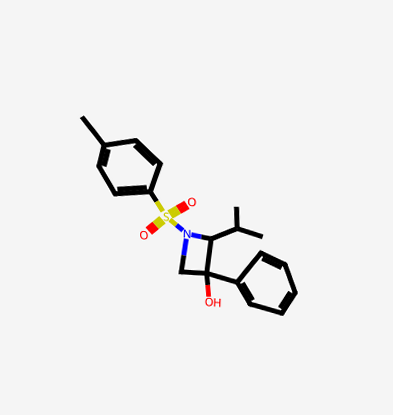 Cc1ccc(S(=O)(=O)N2CC(O)(c3ccccc3)C2C(C)C)cc1